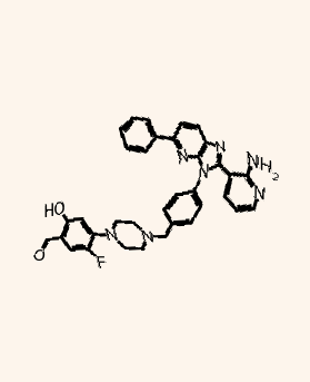 Nc1ncccc1-c1nc2ccc(-c3ccccc3)nc2n1-c1ccc(CN2CCN(c3cc(O)c(C=O)cc3F)CC2)cc1